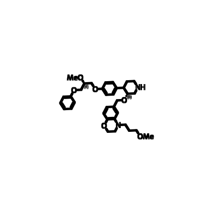 COCCCN1CCOc2ccc(CO[C@H]3CNCCC3c3ccc(OC[C@@H](COc4ccccc4)OC)cc3)cc21